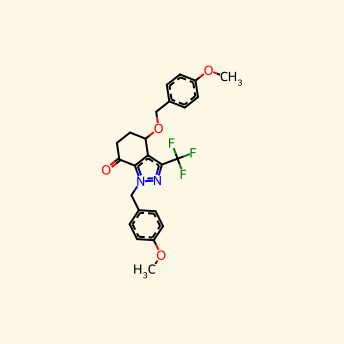 COc1ccc(COC2CCC(=O)c3c2c(C(F)(F)F)nn3Cc2ccc(OC)cc2)cc1